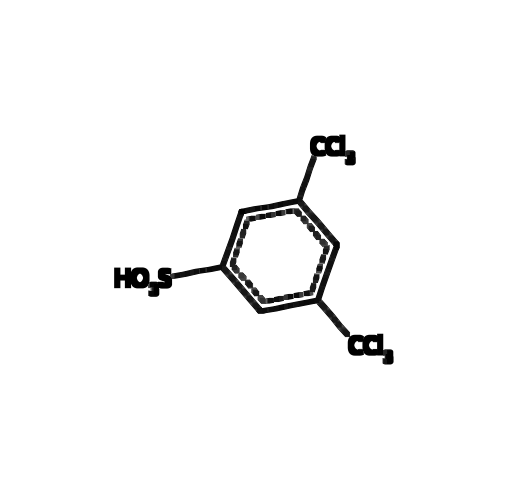 O=S(=O)(O)c1cc(C(Cl)(Cl)Cl)cc(C(Cl)(Cl)Cl)c1